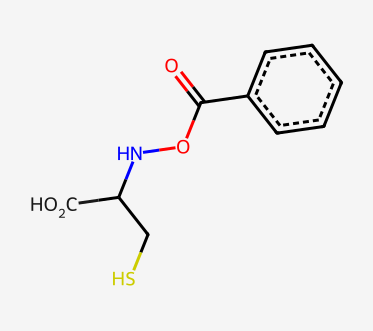 O=C(ONC(CS)C(=O)O)c1ccccc1